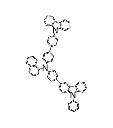 c1ccc(-n2c3ccccc3c3cc(-c4ccc(N(c5ccc(-c6ccc(-n7c8ccccc8c8ccccc87)cc6)cc5)c5cccc6ccccc56)cc4)ccc32)cc1